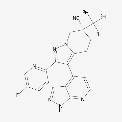 [2H]C([2H])([2H])[C@@]1(C#N)CCc2c(-c3ccnc4[nH]ncc34)c(-c3ccc(F)cn3)nn2C1